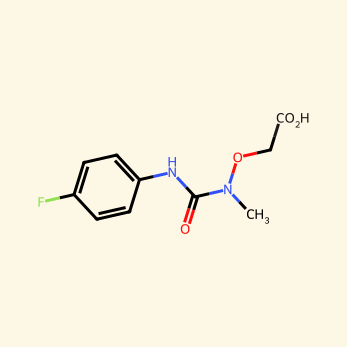 CN(OCC(=O)O)C(=O)Nc1ccc(F)cc1